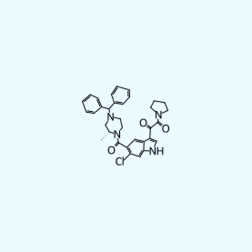 C[C@@H]1CN(C(c2ccccc2)c2ccccc2)CCN1C(=O)c1cc2c(C(=O)C(=O)N3CCCC3)c[nH]c2cc1Cl